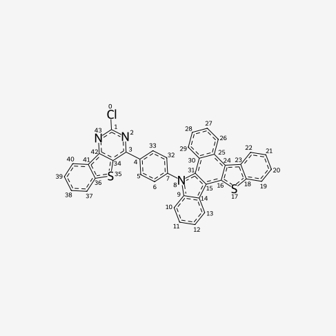 Clc1nc(-c2ccc(-n3c4ccccc4c4c5sc6ccccc6c5c5ccccc5c43)cc2)c2sc3ccccc3c2n1